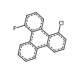 Fc1cccc2c1c1ccccc1c1cccc(Cl)c12